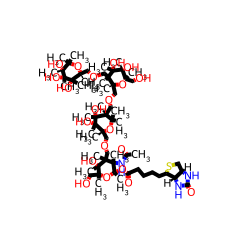 CC(=O)NC1(C)C(C)(OC(=O)CCCCC2SC[C@@H]3NC(=O)N[C@H]23)OC(C)(CO)C(C)(O)C1(C)COC[C@@]1(C)OC(C)(C)[C@@](C)(COC[C@]2(C)OC(C)(CO)[C@@](C)(O)C(C)(O)C2(C)COC[C@]2(C)OC(C)(C)[C@@](C)(O)C(C)(O)C2(C)O)C(C)(O)C1(C)O